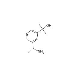 C[C@@H](N)c1cccc(C(C)(C)O)c1